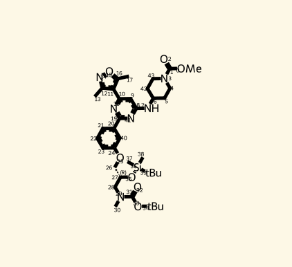 COC(=O)N1CCC(Nc2cc(-c3c(C)noc3C)nc(-c3cccc(OC[C@@H](CN(C)C(=O)OC(C)(C)C)O[Si](C)(C)C(C)(C)C)c3)n2)CC1